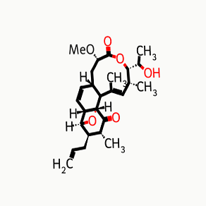 C=CC[C@H]1[C@@H]2O[C@@]34/C(C)=C/[C@@H](C)[C@@H](C(C)O)OC(=O)[C@@H](OC)C[C@H]3C=C[C@@H]2[C@H]4C(=O)[C@@H]1C